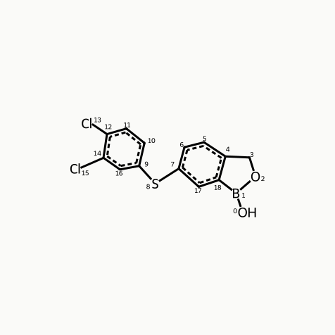 OB1OCc2ccc(Sc3ccc(Cl)c(Cl)c3)cc21